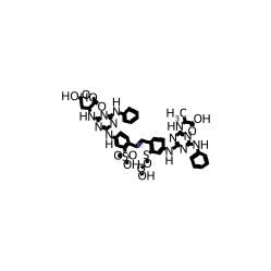 CC(Nc1nc(Nc2ccccc2)nc(Nc2ccc(/C=C/c3ccc(Nc4nc(Nc5ccccc5)nc(NC(CC(=O)O)C(=O)O)n4)cc3S(=O)(=O)O)c(SOOO)c2)n1)C(=O)O